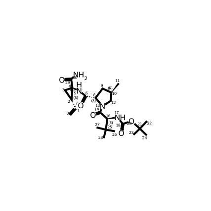 C=C[C@@H]1C[C@]1(NC(=O)[C@@H]1C[C@@H](C)CN1C(=O)[C@@H](NC(=O)OC(C)(C)C)C(C)(C)C)C(N)=O